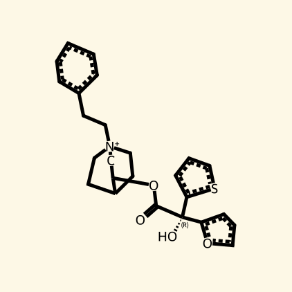 O=C(OC1C[N+]2(CCc3ccccc3)CCC1CC2)[C@](O)(c1ccco1)c1cccs1